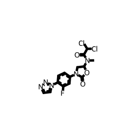 CN(C(=O)C(Cl)Cl)C1CN(c2ccc(-n3ccnn3)c(F)c2)C(=O)O1